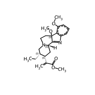 C=C(C(=O)OC)[C@H]1C[C@H]2C3=Nc4cccc(OC)c4[C@@]3(OC)CCN2C[C@H]1CC